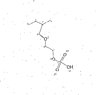 CCC(C)COCCOS(=O)(=O)O